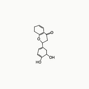 O=C1CC(C2=CC=C(O)C(O)C2)OC2=C1C=CCC2